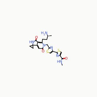 CNC(=O)c1csc(-c2csc(Cn3c(CC[C@H](C)N)c4c(cc3=O)C3(CC3)NC4=O)n2)n1